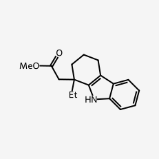 CCC1(CC(=O)OC)CCCc2c1[nH]c1ccccc21